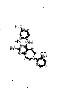 CC(C)c1nc2c(c(Nc3ccc(C(F)(F)F)cc3S)n1)CCN(c1ncccc1C(F)(F)F)CC2